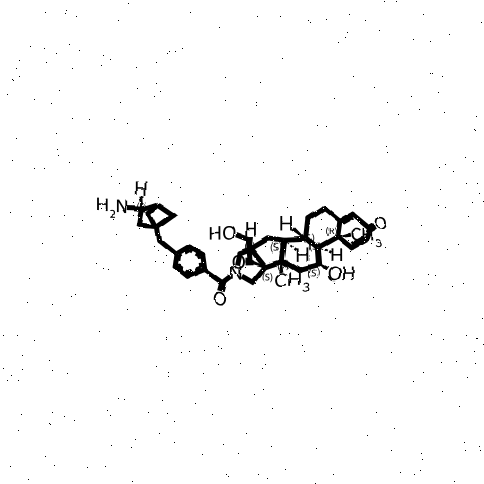 C[C@]12C=CC(=O)C=C1CC[C@@H]1[C@@H]2[C@@H](O)C[C@@]2(C)[C@H]1C[C@H]1CN(C(=O)c3ccc(CC45CC(C4)[C@@H](N)C5)cc3)C[C@]12C(=O)CO